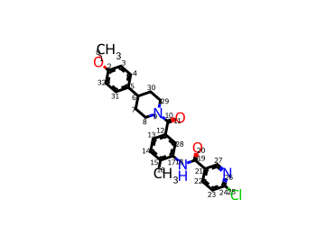 COc1ccc(C2CCN(C(=O)c3ccc(C)c(NC(=O)c4ccc(Cl)nc4)c3)CC2)cc1